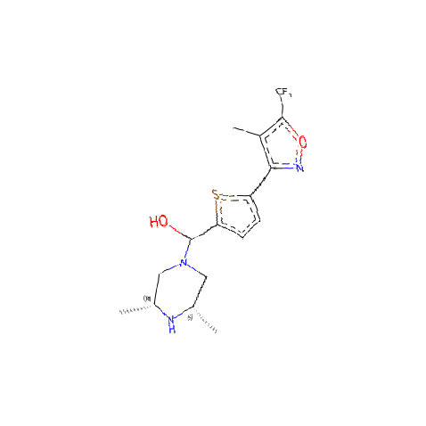 Cc1c(-c2ccc(C(O)N3C[C@@H](C)N[C@@H](C)C3)s2)noc1C(F)(F)F